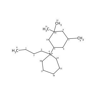 CCCC[N+]1(C2CC(C)CC(C)(C)C2)CCCCC1